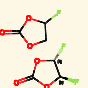 O=C1OCC(F)O1.O=C1O[C@H](F)[C@@H](F)O1